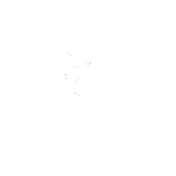 COC(=O)c1ccc(N)c(N[C@@H]2COCC2C(F)F)c1